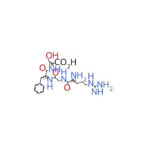 N=C(N)NCCC[C@H](N)C(=O)NCC(=O)N[C@@H](Cc1ccccc1)C(=O)N[C@@H](CO)C(=O)O